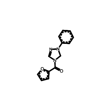 O=C(c1ccco1)N1C=NN(c2ccccc2)C1